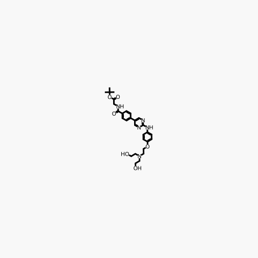 CC(C)(C)OC(=O)CNC(=O)c1ccc(-c2cnc(Nc3ccc(OCCN(CCO)CCO)cc3)nc2)cc1